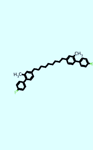 Cc1cc(CCCCCCCCCc2ccc(-c3ccc(F)cc3)c(C)c2)ccc1-c1ccc(F)cc1